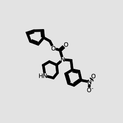 O=C(OCc1ccccc1)N(Cc1cccc([N+](=O)[O-])c1)C1CCNCC1